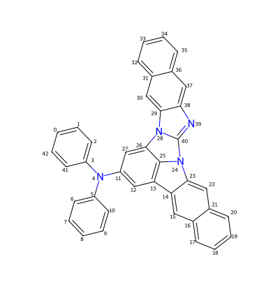 c1ccc(N(c2ccccc2)c2cc3c4cc5ccccc5cc4n4c3c(c2)n2c3cc5ccccc5cc3nc24)cc1